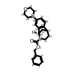 O=C(OCc1ccccc1)N1CCC2C[C@@H]1c1cc(N3CCOCC3)ccc12